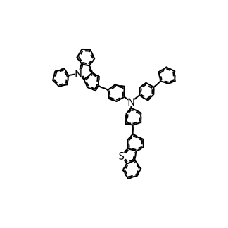 c1ccc(-c2ccc(N(c3ccc(-c4ccc5c(c4)sc4ccccc45)cc3)c3ccc(-c4ccc5c(c4)c4ccccc4n5-c4ccccc4)cc3)cc2)cc1